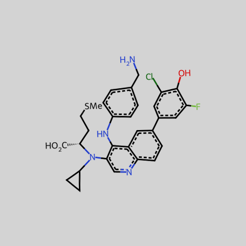 CSCC[C@@H](C(=O)O)N(c1cnc2ccc(-c3cc(F)c(O)c(Cl)c3)cc2c1Nc1ccc(CN)cc1)C1CC1